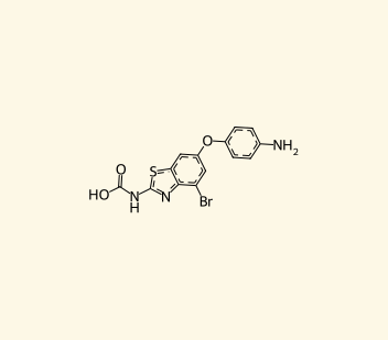 Nc1ccc(Oc2cc(Br)c3nc(NC(=O)O)sc3c2)cc1